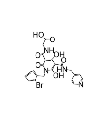 O=C(O)CNC(=O)c1c(O)c(C(=O)NCc2ccncc2)c(O)n(Cc2ccccc2Br)c1=O